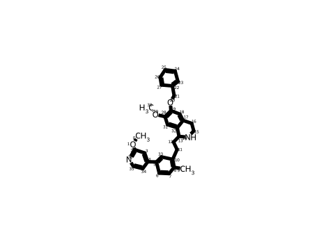 COc1cc(-c2ccc(C)c(CCC3NCCc4cc(OCc5ccccc5)c(OC)cc43)c2)ccn1